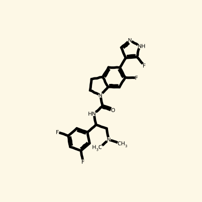 CN(C)CC(NC(=O)N1CCc2cc(-c3cn[nH]c3F)c(F)cc21)c1cc(F)cc(F)c1